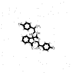 CC(CNC1(C(=O)O)c2ccccc2C(=O)N1CC(C)c1ccc(Cl)cc1)c1ccc(Cl)cc1